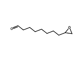 O=CCCCCCCCC1CO1